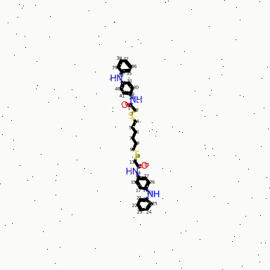 O=C(CSCCCCCCSCC(=O)Nc1ccc(Nc2ccccc2)cc1)Nc1ccc(Nc2ccccc2)cc1